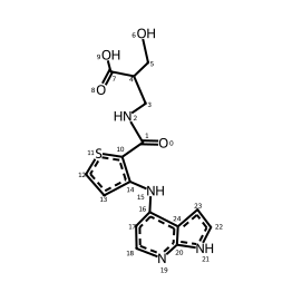 O=C(NCC(CO)C(=O)O)c1sccc1Nc1ccnc2[nH]ccc12